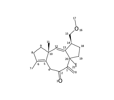 C=C1C(=O)CC2=C(C)CC[C@]2(C)/C=C2/[C@@H](COC)CCC12I